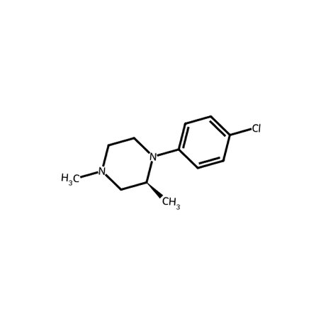 C[C@H]1CN(C)CCN1c1ccc(Cl)cc1